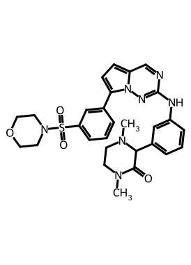 CN1CCN(C)C(c2cccc(Nc3ncc4ccc(-c5cccc(S(=O)(=O)N6CCOCC6)c5)n4n3)c2)C1=O